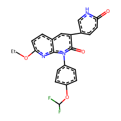 CCOc1ccc2cc(-c3ccc(=O)[nH]c3)c(=O)n(-c3ccc(OC(F)F)cc3)c2n1